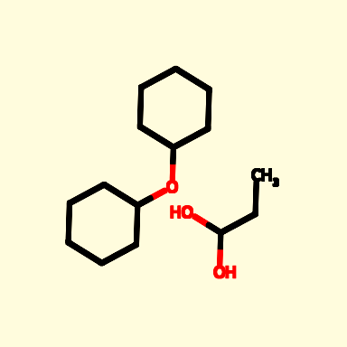 C1CCC(OC2CCCCC2)CC1.CCC(O)O